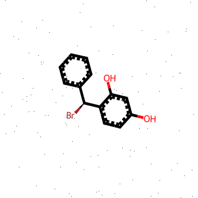 Oc1ccc([C@@H](Br)c2ccccc2)c(O)c1